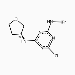 CC(C)Nc1nc(Cl)nc(N[C@H]2CCOC2)n1